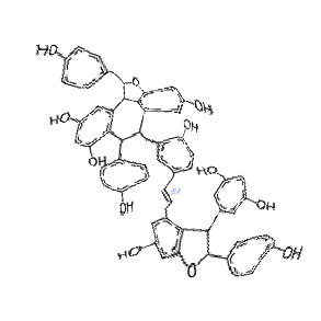 Oc1ccc(C2Oc3cc(O)cc(/C=C/c4ccc(O)c(C5c6cc(O)cc7c6C(c6cc(O)cc(O)c6C5c5ccc(O)cc5)C(c5ccc(O)cc5)O7)c4)c3C2c2cc(O)cc(O)c2)cc1